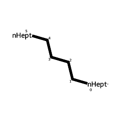 CCCCCC[CH]CCCCCCCCCCC